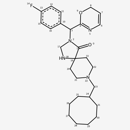 O=C1N(C(C2=NC=CCO2)c2ccc(F)cc2)CNC12CCN(CC1CCCCCCC1)CC2